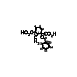 CC1C(C(=O)O)=CC=CC1(OCc1ccccc1)C(=O)O